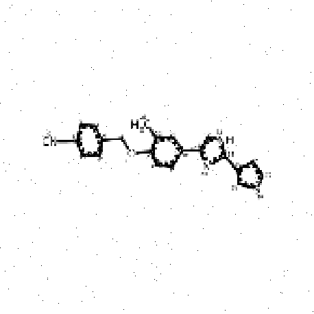 [C-]#[N+]c1ccc(COc2ccc(-c3c[nH]c(-c4ccsc4)n3)cc2C)cc1